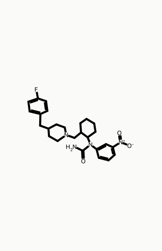 NC(=O)N(c1cccc([N+](=O)[O-])c1)C1CCCCC1CN1CCC(Cc2ccc(F)cc2)CC1